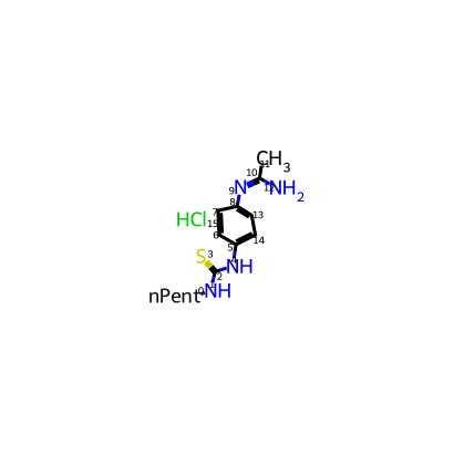 CCCCCNC(=S)Nc1ccc(N=C(C)N)cc1.Cl